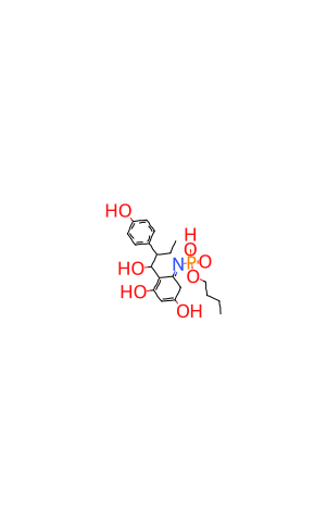 CCCCOP(=O)(O)N=C1CC(O)=CC(O)=C1C(O)C(CC)c1ccc(O)cc1